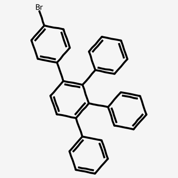 Brc1ccc(-c2ccc(-c3ccccc3)c(-c3ccccc3)c2-c2ccccc2)cc1